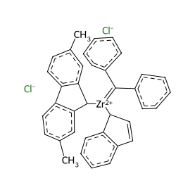 Cc1ccc2c(c1)[CH]([Zr+2](=[C](c1ccccc1)c1ccccc1)[CH]1C=Cc3ccccc31)c1cc(C)ccc1-2.[Cl-].[Cl-]